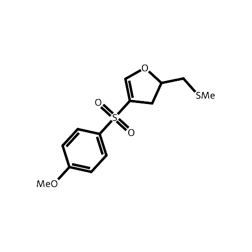 COc1ccc(S(=O)(=O)C2=COC(CSC)C2)cc1